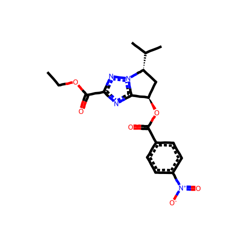 CCOC(=O)c1nc2n(n1)[C@H](C(C)C)C[C@H]2OC(=O)c1ccc([N+](=O)[O-])cc1